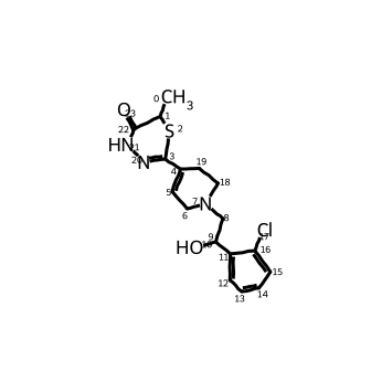 CC1SC(C2=CCN(CC(O)c3ccccc3Cl)CC2)=NNC1=O